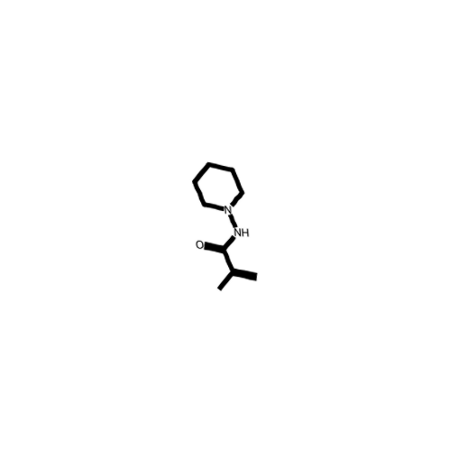 C=C(C)C(=O)NN1CCCCC1